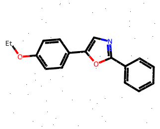 CCOc1ccc(-c2cnc(-c3ccccc3)o2)cc1